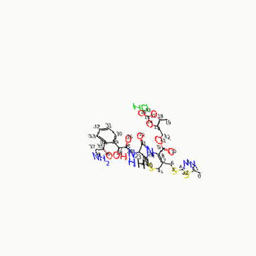 Cc1nnc(SCC2=C(C(=O)OCC3OC(=O)OC3C)N3C(=O)C(NC(=O)C(O)c4ccccc4C(=O)CN)[C@@H]3SC2)s1.Cl